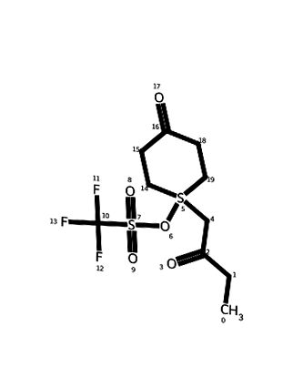 CCC(=O)CS1(OS(=O)(=O)C(F)(F)F)CCC(=O)CC1